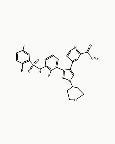 COC(=O)c1cc(-c2cn(C3CCOCC3)nc2-c2cccc(NS(=O)(=O)c3cc(F)ccc3F)c2F)ccn1